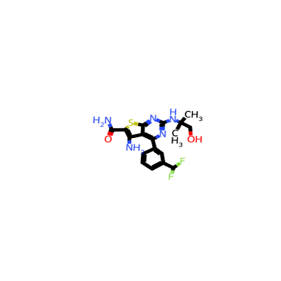 CC(C)(CO)Nc1nc(-c2cccc(C(F)F)c2)c2c(N)c(C(N)=O)sc2n1